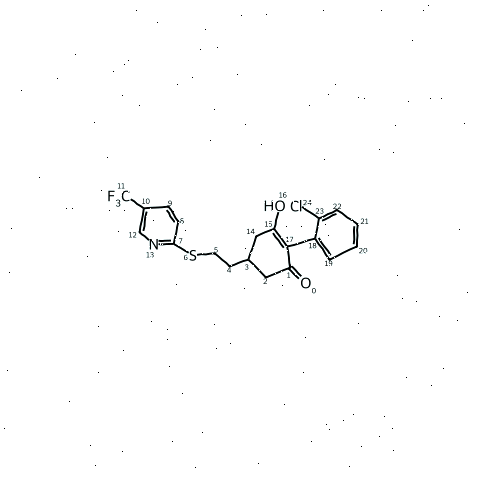 O=C1CC(CCSc2ccc(C(F)(F)F)cn2)CC(O)=C1c1ccccc1Cl